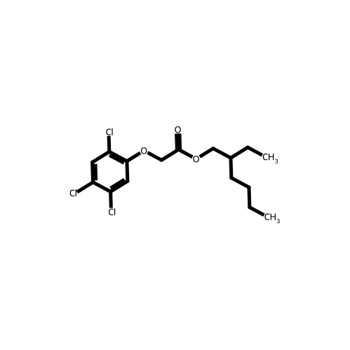 CCCCC(CC)COC(=O)COc1cc(Cl)c(Cl)cc1Cl